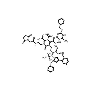 C[C@H](NC(=O)OCc1ccccc1)C(=O)N[C@H](C)C(=O)N([C@@H](CC(=O)O)C(N)=O)[C@@H](CCN(C(=O)CO)[C@@H](c1cc(-c2cc(F)ccc2F)cn1Cc1ccccc1)C(C)(C)C)C(=O)NCCNC(=O)CN1C(=O)C=CC1=O